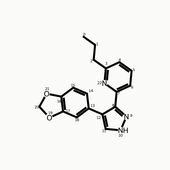 CCCc1cccc(-c2n[nH]cc2-c2ccc3c(c2)OCO3)n1